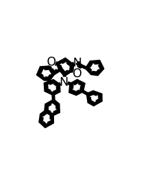 c1ccc(-c2ccc(N(c3cccc(-c4ccc5ccccc5c4)c3)c3c4oc(-c5ccccc5)nc4cc4oc5ccccc5c34)cc2)cc1